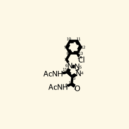 CC(=O)NC(=O)c1nnn(Cc2ccccc2Cl)c1NC(C)=O